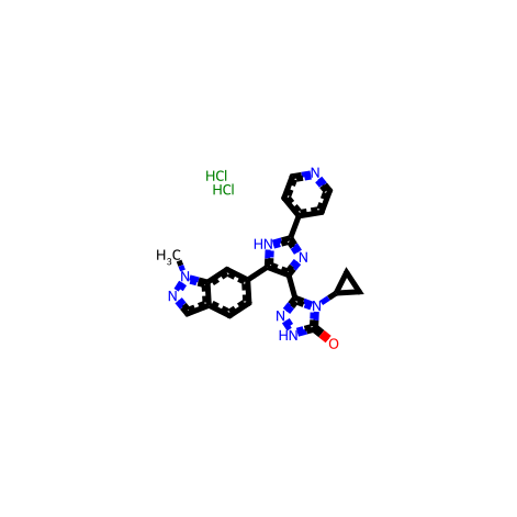 Cl.Cl.Cn1ncc2ccc(-c3[nH]c(-c4ccncc4)nc3-c3n[nH]c(=O)n3C3CC3)cc21